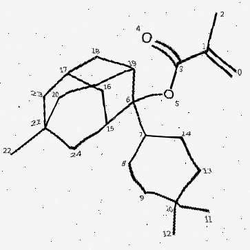 C=C(C)C(=O)OC1(C2CCC(C)(C)CC2)C2CC3CC1CC(C)(C3)C2